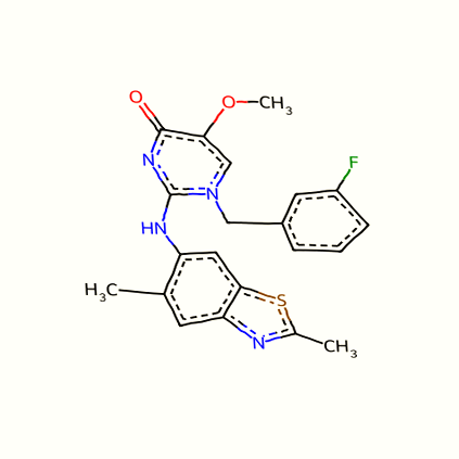 COc1cn(Cc2cccc(F)c2)c(Nc2cc3sc(C)nc3cc2C)nc1=O